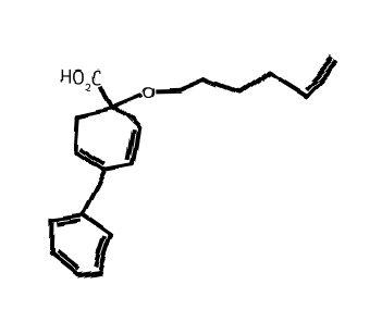 C=CCCCCOC1(C(=O)O)C=CC(c2ccccc2)=CC1